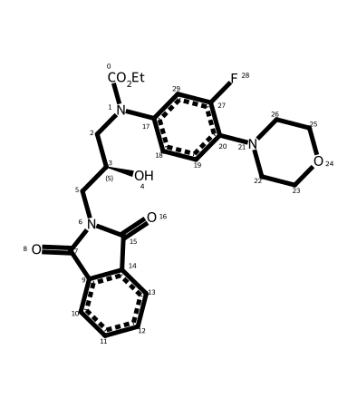 CCOC(=O)N(C[C@@H](O)CN1C(=O)c2ccccc2C1=O)c1ccc(N2CCOCC2)c(F)c1